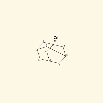 C1C2CC3CC1CC(C2)C3.[Zn]